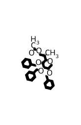 CC(=O)OC[C@H](C)C1OCC(OCc2ccccc2)C(OCc2ccccc2)[C@@H]1OCc1ccccc1